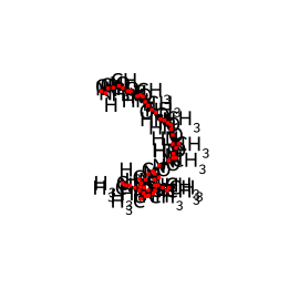 CCN(CC)CCCC[C@H](NC(=O)[C@H](CC(C)C)NC(=O)[C@H](C)NC(=O)[C@H](Cc1ccccc1)NC(=O)c1ccc(C(C)(C)C)cc1)C(=O)N[C@@H](CO)C(=O)NCCCN(C)CCCNC(=O)CCNC(=O)c1nc(NC(=O)c2cc(NC(=O)CCNC(=O)c3nc(NC(=O)CCCNC(=O)c4cc(NC(=O)c5nc(NC(=O)CCNC(=O)c6cc(NC(=O)c7nccn7C)cn6C)cn5C)cn4C)cn3C)cn2C)cn1C